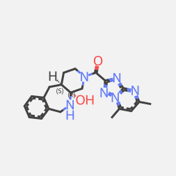 Cc1cc(C)n2nc(C(=O)N3CC[C@@H]4Cc5ccccc5CN[C@]4(O)C3)nc2n1